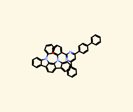 c1ccc(-c2ccc(-c3cc(-c4ccccc4)nc(-c4ccccc4-n4c5ccccc5c5ccc6c7ccccc7n(-c7ccccc7)c6c54)n3)cc2)cc1